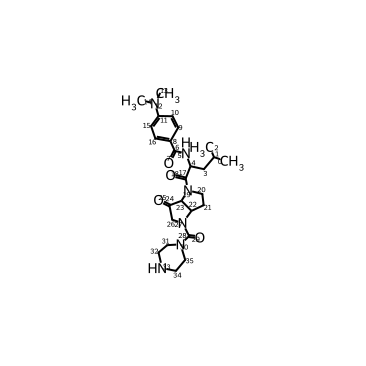 CC(C)CC(NC(=O)c1ccc(N(C)C)cc1)C(=O)N1CCC2C1C(=O)CN2C(=O)N1CCNCC1